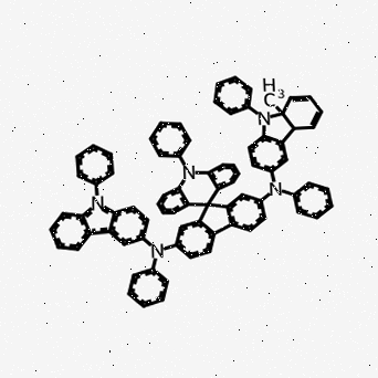 CC12C=CC=CC1c1cc(N(c3ccccc3)c3ccc4c(c3)C3(c5cc(N(c6ccccc6)c6ccc7c(c6)c6ccccc6n7-c6ccccc6)ccc5-4)c4ccccc4N(c4ccccc4)c4ccccc43)ccc1N2c1ccccc1